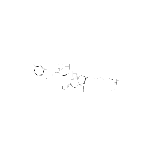 Cc1ccccc1CC[C@H](O)/C=C/[C@@H]1[C@H]2CC(CCCCCN(C)C)=C[C@H]2C[C@H]1O